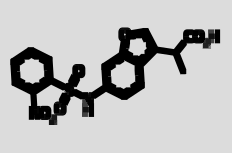 CC(C(=O)O)c1coc2cc(NS(=O)(=O)c3ccccc3[N+](=O)[O-])ccc12